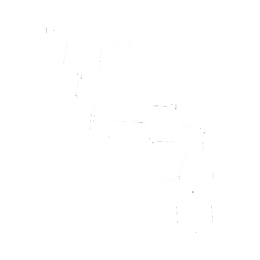 CC1(C(=O)c2c[nH]c3ncc(-c4ccc(C(=O)N(CCO)CCO)s4)nc23)CCCCC1